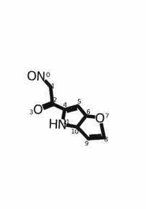 O=NCC(=O)C1=CC2OC=CC2N1